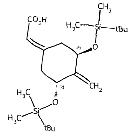 C=C1[C@H](O[Si](C)(C)C(C)(C)C)CC(=CC(=O)O)C[C@H]1O[Si](C)(C)C(C)(C)C